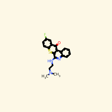 CN(C)CCNc1nc2ccccc2c2c(=O)c3cc(F)ccc3sc12